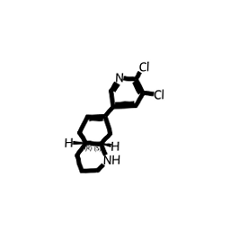 Clc1cc(C2=CC[C@H]3CCCN[C@H]3C2)cnc1Cl